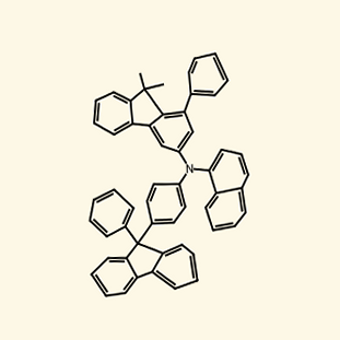 CC1(C)c2ccccc2-c2cc(N(c3ccc(C4(c5ccccc5)c5ccccc5-c5ccccc54)cc3)c3cccc4ccccc34)cc(-c3ccccc3)c21